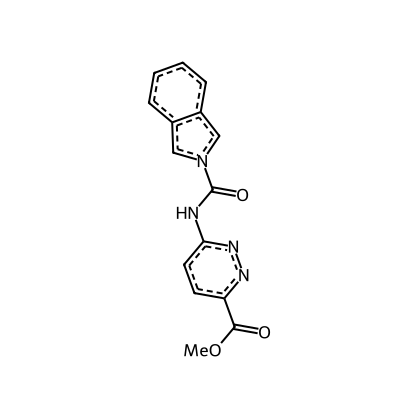 COC(=O)c1ccc(NC(=O)n2cc3ccccc3c2)nn1